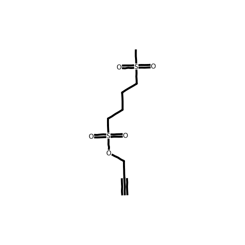 C#CCOS(=O)(=O)CCCCS(C)(=O)=O